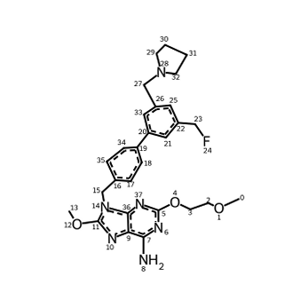 COCCOc1nc(N)c2nc(OC)n(Cc3ccc(-c4cc(CF)cc(CN5CCCC5)c4)cc3)c2n1